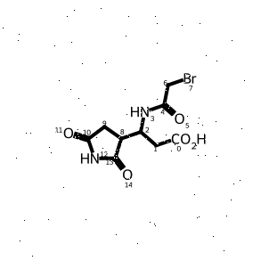 O=C(O)CC(NC(=O)CBr)C1CC(=O)NC1=O